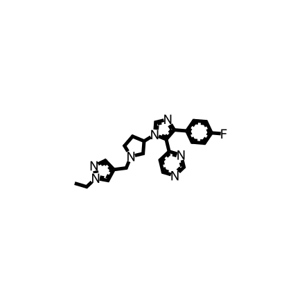 CCn1cc(CN2CCC(n3cnc(-c4ccc(F)cc4)c3-c3ccncn3)C2)cn1